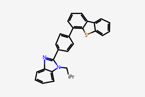 CC(C)Cn1c(-c2ccc(-c3cccc4c3sc3ccccc34)cc2)nc2ccccc21